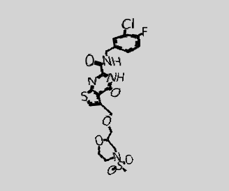 CS(=O)(=O)N1CCOC(COCc2csc3nc(C(=O)NCc4ccc(F)c(Cl)c4)[nH]c(=O)c23)C1